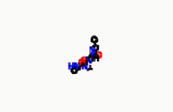 CC(C)C[C@@H](C(=O)N1C[C@@H]2CC1CN2C(=O)c1ccc(-c2ccccc2)cn1)N(C)C(=O)c1cc2ccccc2[nH]1